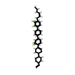 C=CC1CCC(C2CC=C(c3ccc(-c4ccc(-c5ccc(C/C=C\CCC)c(F)c5F)cc4)cc3F)CC2)CC1